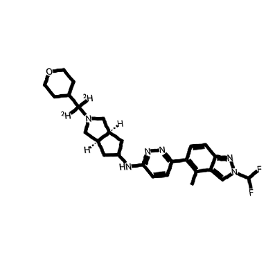 [2H]C([2H])(C1CCOCC1)N1C[C@H]2CC(Nc3ccc(-c4ccc5nn(C(F)F)cc5c4C)nn3)C[C@H]2C1